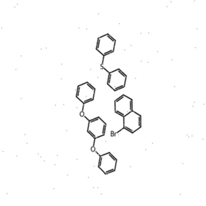 Brc1cccc2ccccc12.c1ccc(Oc2cccc(Oc3ccccc3)c2)cc1.c1ccc(Sc2ccccc2)cc1